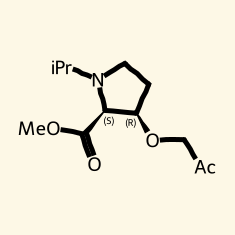 COC(=O)[C@@H]1[C@H](OCC(C)=O)CCN1C(C)C